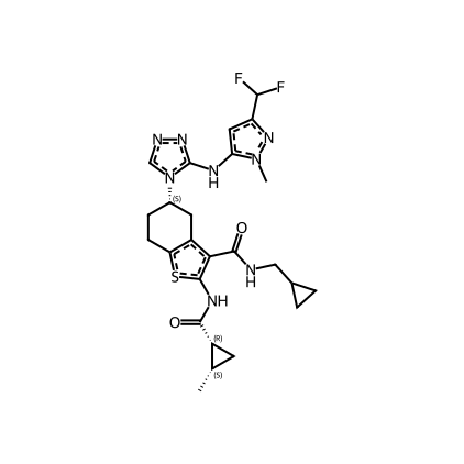 C[C@H]1C[C@H]1C(=O)Nc1sc2c(c1C(=O)NCC1CC1)C[C@@H](n1cnnc1Nc1cc(C(F)F)nn1C)CC2